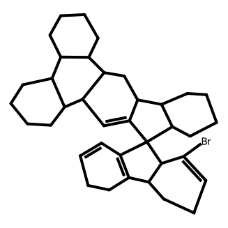 BrC1=CCCC2C3=C(C=CCC3)C3(C4=CC5C6CCCCC6C6CCCCC6C5CC4C4CCCCC43)C12